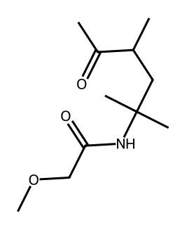 COCC(=O)NC(C)(C)CC(C)C(C)=O